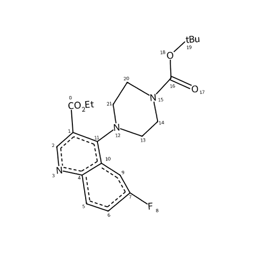 CCOC(=O)c1cnc2ccc(F)cc2c1N1CCN(C(=O)OC(C)(C)C)CC1